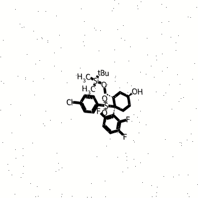 CC(C)(C)[Si](C)(C)OC[C@@H]1C[C@@H](O)CC[C@@]1(c1c(F)ccc(F)c1F)S(=O)(=O)c1ccc(Cl)cc1